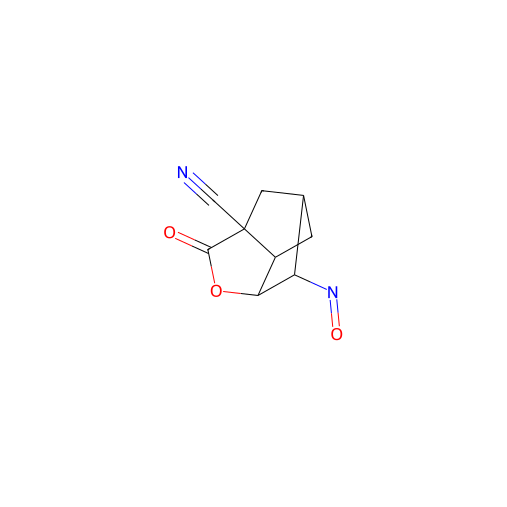 N#CC12CC3CC1C(OC2=O)C3N=O